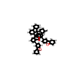 Cc1ccc(C2(c3ccc(C)cc3)c3ccccc3-c3cccc(-c4c5cccc(-c6ccc7oc8ccccc8c7c6)c5cc5c(-c6ccc7oc8ccccc8c7c6)cccc45)c32)cc1